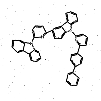 c1ccc(-c2ccc(-c3cccc(-n4c5ccccc5c5cc(-c6cccc(-n7c8ccccc8c8ccccc87)n6)ccc54)c3)cc2)cc1